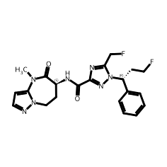 CN1C(=O)[C@@H](NC(=O)c2nc(CF)n([C@H](CCF)c3ccccc3)n2)CCn2nccc21